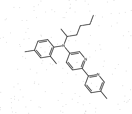 CCCCC(C)N(c1ccc(-c2ccc(C)cn2)nc1)c1ccc(C)cc1C